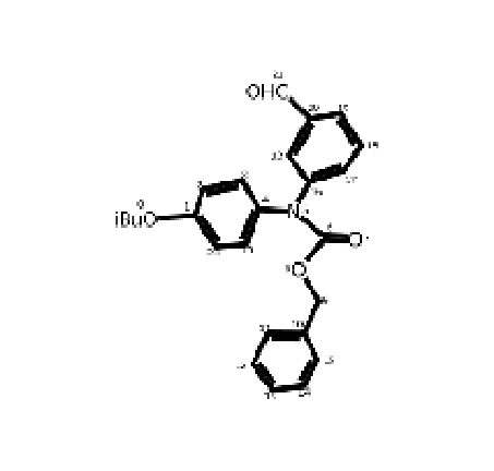 CC(C)COc1ccc(N(C(=O)OCc2ccccc2)c2cccc(C=O)c2)cc1